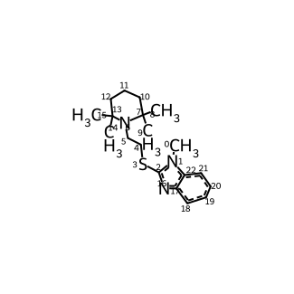 Cn1c(SCCN2C(C)(C)CCCC2(C)C)nc2ccccc21